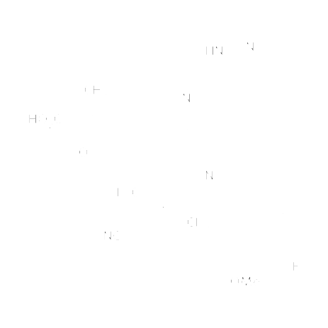 COc1cc(-n2c(C(C)(C)CC#N)c(C3CO[C@](C)(C(=O)O)C3)c3nc4[nH]ncc4cc32)ccc1F